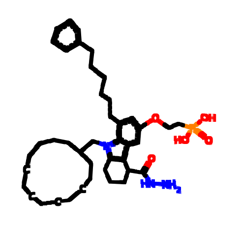 NNC(=O)C1CCCc2c1c1cc(OCCP(=O)(O)O)cc(CCCCCCc3ccccc3)c1n2CC1CCCCCCCCCCCCC1